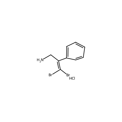 Cl.NCC(=C(Br)Br)c1ccccc1